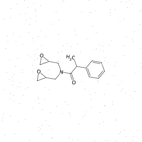 CC(C(=O)N(CC1CO1)CC1CO1)c1ccccc1